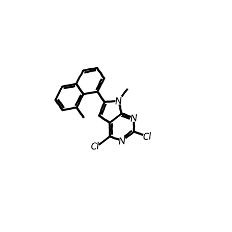 Cc1cccc2cccc(-c3cc4c(Cl)nc(Cl)nc4n3C)c12